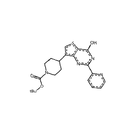 CC(C)(C)OC(=O)N1CCC(c2csc3c(O)nc(-c4ccccn4)nc23)CC1